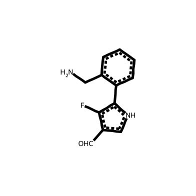 NCc1ccccc1-c1[nH]cc(C=O)c1F